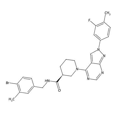 Cc1ccc(-n2cc3c(N4CCC[C@H](C(=O)NCc5ccc(Br)c(C)c5)C4)ncnc3n2)cc1F